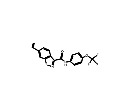 C=Cc1ccc2c(C(=O)Nc3ccc(OC(F)(F)F)cc3)nsc2c1